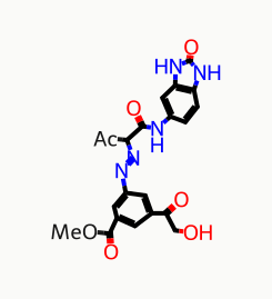 COC(=O)c1cc(/N=N/C(C(C)=O)C(=O)Nc2ccc3[nH]c(=O)[nH]c3c2)cc(C(=O)CO)c1